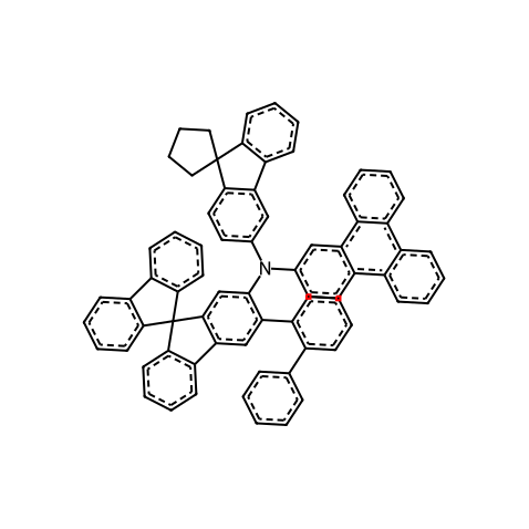 c1ccc(-c2ccccc2-c2cc3c(cc2N(c2ccc4c(c2)-c2ccccc2C42CCCC2)c2ccc4c5ccccc5c5ccccc5c4c2)C2(c4ccccc4-c4ccccc42)c2ccccc2-3)cc1